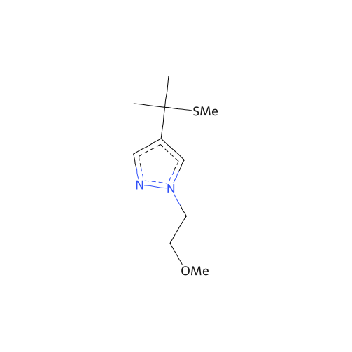 COCCn1cc(C(C)(C)SC)cn1